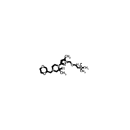 CCC1(C)CN(CC2COCCO2)CCN1c1cc(C)n(COCC[Si](C)(C)C)n1